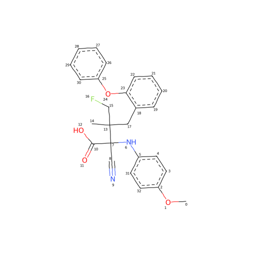 COc1ccc(NC(C#N)(C(=O)O)C(C)(CF)Cc2ccccc2Oc2ccccc2)cc1